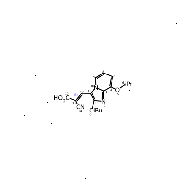 CC(C)COc1nc2c(OC(C)C)cccn2c1/C=C(\C#N)C(=O)O